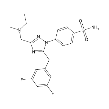 CCN(C)Cc1nc(Cc2cc(F)cc(F)c2)n(-c2ccc(S(N)(=O)=O)cc2)n1